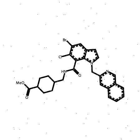 COC(=O)C1CCC(CNC(=O)c2c(Cl)c(Br)cc3ccn(Cc4cc5ccccc5cn4)c23)CC1